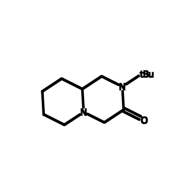 CC(C)(C)N1CC2CCCCN2CC1=O